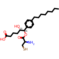 CCCCCCCCc1ccc([C@@H](OC(=O)C(N)CS)[C@@H](O)CCCC(=O)O)cc1